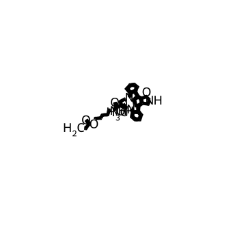 C=CC(=O)OCCCCCNC(=O)[C@@]1(O)CC2O[C@]1(C)n1c3ccccc3c3c4c(c5c6ccccc6n2c5c31)C(=O)NC4